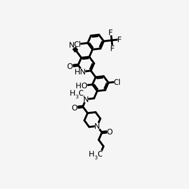 CCCC(=O)N1CCC(C(=O)N(C)Cc2cc(Cl)cc(-c3cc(-c4cc(C(F)(F)F)ccc4Cl)c(C#N)c(=O)[nH]3)c2O)CC1